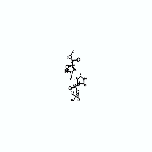 COC(=O)c1cc(C[C@@H]2CCCN2C(=O)OC(C)(C)C)no1